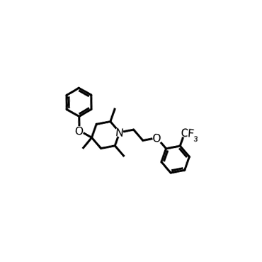 CC1CC(C)(Oc2ccccc2)CC(C)N1CCOc1ccccc1C(F)(F)F